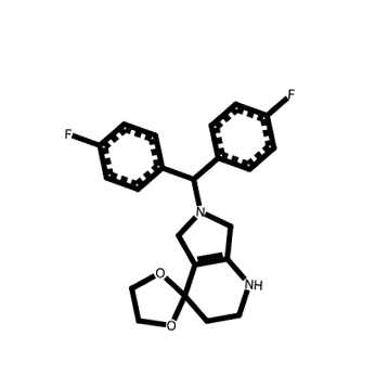 Fc1ccc(C(c2ccc(F)cc2)N2CC3=C(C2)C2(CCN3)OCCO2)cc1